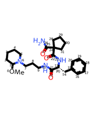 COC1CCCCN1CCCNC(=O)[C@@H](Cc1ccccc1)NC(=O)C1(C(N)=O)CCCC1